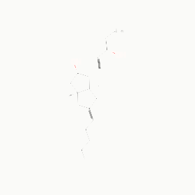 CCCC(C)C[C@@H](O)/C=C/[C@@H]1[C@H]2C/C(=C/CCCC(=O)O)C[C@@H]2C[C@H]1O